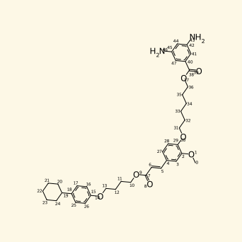 COc1cc(C=CC(=O)OCCCCOc2ccc(C3CCCCC3)cc2)ccc1OCCCCCCOC(=O)c1cc(N)cc(N)c1